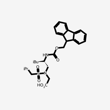 CC[C@H](C)[C@@H](CN(CC(=O)O)S(=O)(=O)CC(C)C)NC(=O)OCC1c2ccccc2-c2ccccc21